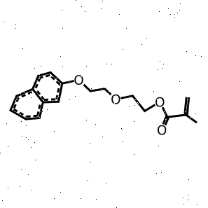 C=C(C)C(=O)OCCOCCOc1ccc2ccccc2c1